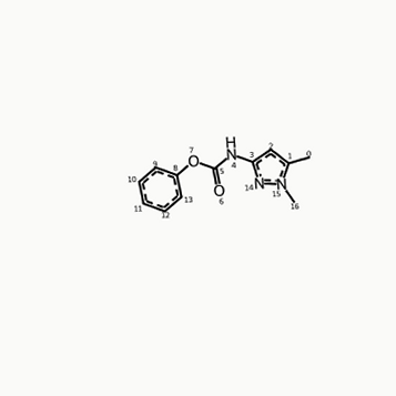 Cc1cc(NC(=O)Oc2ccccc2)nn1C